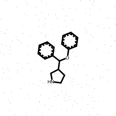 c1ccc(OC(c2ccccc2)C2CCNC2)cc1